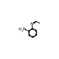 C/C=N\c1ccccc1N